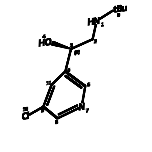 CC(C)(C)NC[C@H](O)c1cncc(Cl)c1